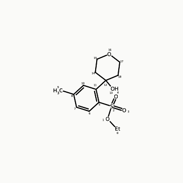 CCOS(=O)(=O)c1ccc(C)cc1C1(O)CCOCC1